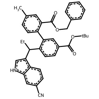 CCC(c1ccc(C(=O)OC(C)(C)C)cc1-c1ccc(C)cc1C(=O)OCc1ccccc1)c1c[nH]c2cc(C#N)ccc12